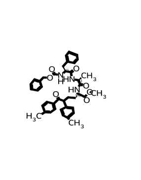 COC(=O)[C@H](CCC(C(=O)c1ccc(C)cc1)c1ccc(C)cc1)NC(=O)[C@H](C)NC(=O)[C@H](Cc1ccccc1)NC(=O)OCc1ccccc1